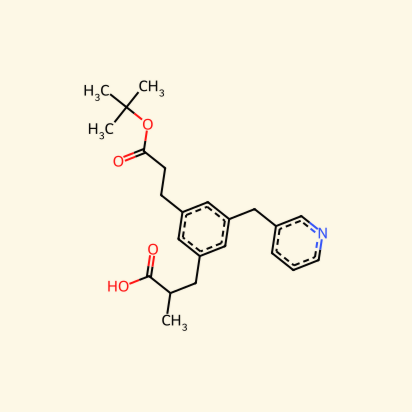 CC(Cc1cc(CCC(=O)OC(C)(C)C)cc(Cc2cccnc2)c1)C(=O)O